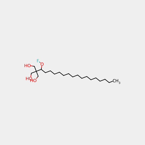 CCCCCCCCCCCCCCCCC(OF)C(CO)(CO)CO